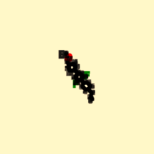 C=CCC1CCC(c2c(F)cc(-c3ccc(COCC)cc3)cc2F)CC1